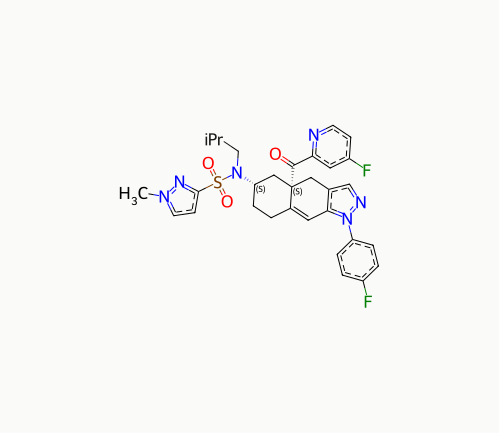 CC(C)CN([C@H]1CCC2=Cc3c(cnn3-c3ccc(F)cc3)C[C@]2(C(=O)c2cc(F)ccn2)C1)S(=O)(=O)c1ccn(C)n1